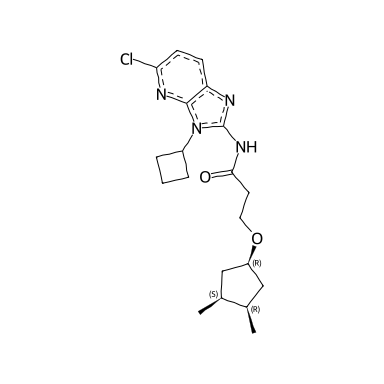 C[C@@H]1C[C@H](OCCC(=O)Nc2nc3ccc(Cl)nc3n2C2CCC2)C[C@@H]1C